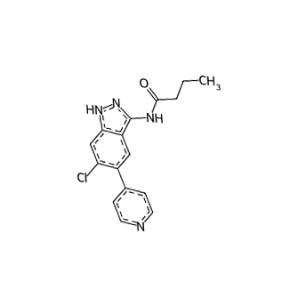 CCCC(=O)Nc1n[nH]c2cc(Cl)c(-c3ccncc3)cc12